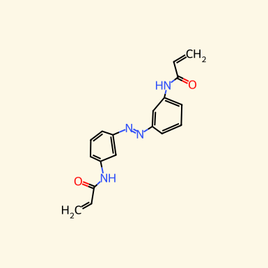 C=CC(=O)Nc1cccc(N=Nc2cccc(NC(=O)C=C)c2)c1